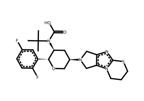 CC(C)(C)N(C(=O)O)[C@H]1C[C@@H](N2Cc3nc4n(c3C2)CCCS4)CO[C@@H]1c1cc(F)ccc1F